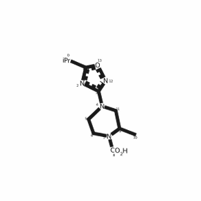 CC(C)c1nc(N2CCN(C(=O)O)C(C)C2)no1